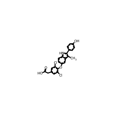 Cc1c(-c2ccc(O)cc2)[nH]c2ccc(Oc3c(Cl)cc(CC(=O)O)cc3Cl)cc12